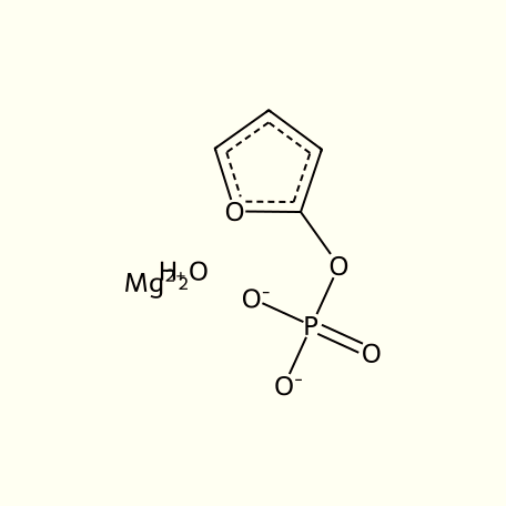 O.O=P([O-])([O-])Oc1ccco1.[Mg+2]